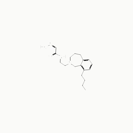 CCCCc1cccc2c1CN(C[C@H](C)NC(=O)/C=N\O)CCC2